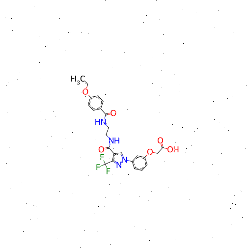 CCOc1ccc(C(=O)NCCNC(=O)c2cn(-c3cccc(OCC(=O)O)c3)nc2C(F)(F)F)cc1